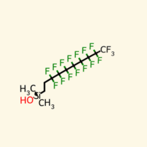 C[Si](C)(O)CCC(F)(F)C(F)(F)C(F)(F)C(F)(F)C(F)(F)C(F)(F)C(F)(F)C(F)(F)F